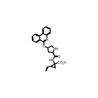 C=CC1CC1(NC(=O)C1CC(Oc2nc3ccccc3c3ccccc23)CN1)C(=O)O